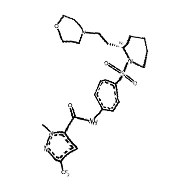 Cn1nc(C(F)(F)F)cc1C(=O)Nc1ccc(S(=O)(=O)N2CCCC[C@H]2CCN2CCOCC2)cc1